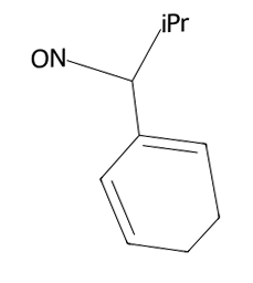 CC(C)C(N=O)C1=CCCC=C1